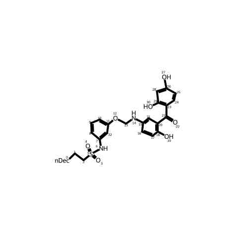 CCCCCCCCCCCCS(=O)(=O)Nc1cccc(OCNc2ccc(O)c(C(=O)c3ccc(O)cc3O)c2)c1